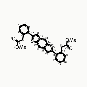 COC(=O)Cc1ccccc1-c1cc2cc3sc(-c4ccccc4CC(=O)OC)cc3cc2s1